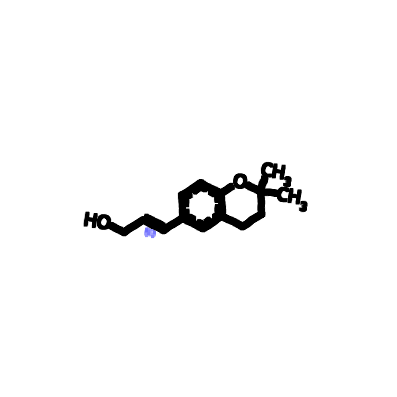 CC1(C)CCc2cc(/C=C/CO)ccc2O1